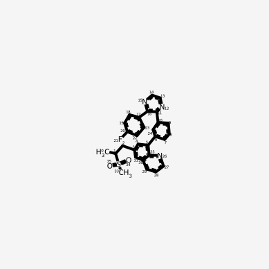 CC(Cc1cc(-c2cccc(-c3nccnc3-c3ccc(F)cc3)c2)c2ncccc2c1)S(C)(=O)=O